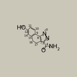 Cn1nc(C(N)=O)c2c1-c1ccc(O)cc1CC2